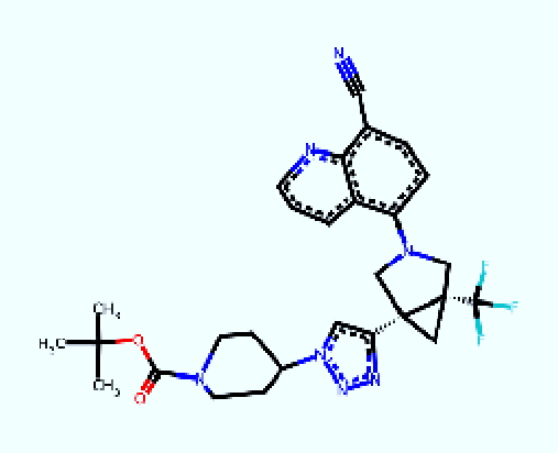 CC(C)(C)OC(=O)N1CCC(n2cc([C@]34CN(c5ccc(C#N)c6ncccc56)C[C@@]3(C(F)(F)F)C4)nn2)CC1